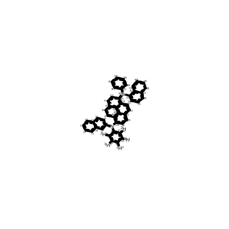 [2H]c1c([2H])c([2H])c(N(c2ccc3ccccc3c2)c2ccc3ccc4c(B(c5ccccc5)c5cccc6ccccc56)ccc5ccc2c3c54)c([2H])c1[2H]